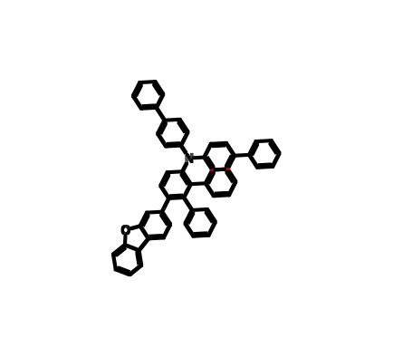 c1ccc(-c2ccc(N(c3ccc(-c4ccccc4)cc3)c3ccc(-c4ccc5c(c4)oc4ccccc45)c(-c4ccccc4)c3-c3ccccc3)cc2)cc1